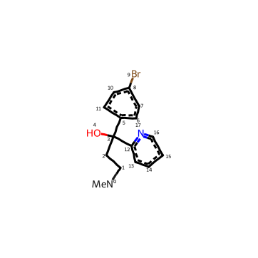 CNCCC(O)(c1ccc(Br)cc1)c1ccccn1